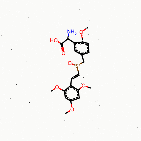 COc1cc(OC)c(C=C[S+]([O-])Cc2ccc(OC)c(C(N)C(=O)O)c2)c(OC)c1